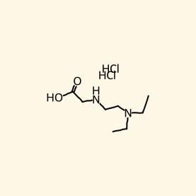 CCN(CC)CCNCC(=O)O.Cl.Cl